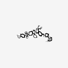 COc1ccc(S(=O)(=O)N2CCC3(CCN(c4ccc(N5CC[C@H](N6CCC[C@@H]6C)C5)cc4C(F)(F)F)C3=O)CC2)cc1